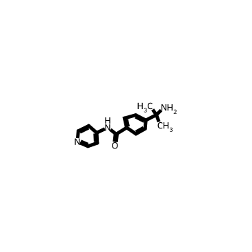 CC(C)(N)c1ccc(C(=O)Nc2ccncc2)cc1